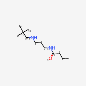 CCCC(=O)NCCCNCC(C)(C)C